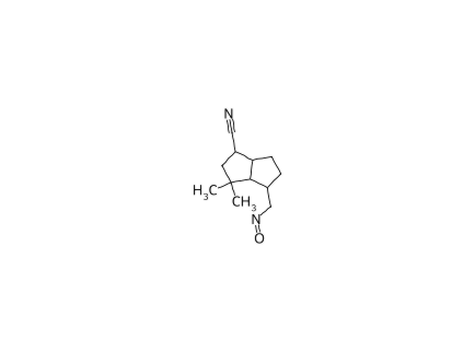 CC1(C)CC(C#N)C2CCC(CN=O)C21